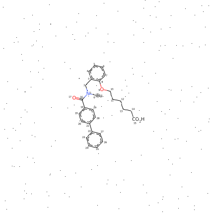 CCC(C)N(Cc1ccccc1OCCCCCC(=O)O)C(=O)c1ccc(-c2ccccc2)cc1